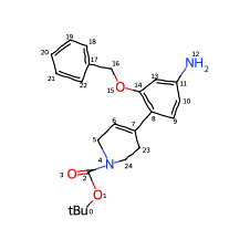 CC(C)(C)OC(=O)N1CC=C(c2ccc(N)cc2OCc2ccccc2)CC1